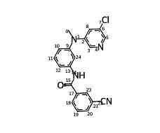 CN(c1cncc(Cl)c1)c1cccc(NC(=O)c2cccc(C#N)c2)c1